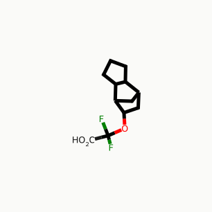 O=C(O)C(F)(F)OC1CC2CC1C1CCCC21